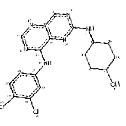 OC1CCC(Nc2ncc3ncnc(Nc4ccc(Cl)c(Cl)c4)c3n2)CC1